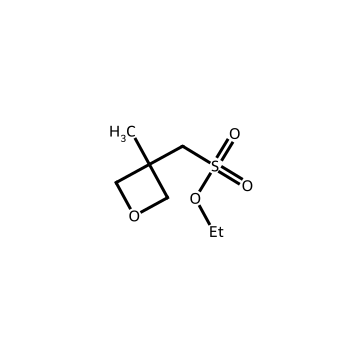 CCOS(=O)(=O)CC1(C)COC1